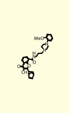 COc1ccccc1N1CCN(CCCNC(=O)c2cccc3c(=O)c(C)c(C4CC5C=CC4C5)oc23)CC1